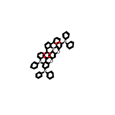 c1ccc(-c2cccc(-c3ccccc3)c2B2c3ccc(N(c4ccccc4)c4ccccc4)cc3Oc3cc4c(cc32)B2c3ccccc3N(c3ccccc3)c3cc(N(c5ccccc5)c5ccccc5)cc(c32)O4)cc1